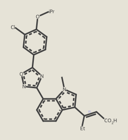 CC/C(=C\C(=O)O)c1cn(C)c2c(-c3noc(-c4ccc(OC(C)C)c(Cl)c4)n3)cccc12